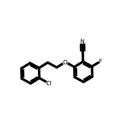 N#Cc1c(F)cccc1OCCc1ccccc1Cl